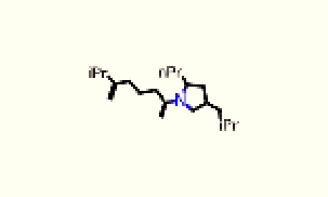 C=C(CCCC(=C)N1CC(CC(C)C)CC1CCC)C(C)C